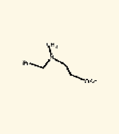 CC(=O)OCCN(C)CC(C)C